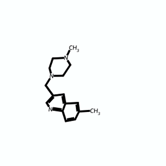 Cc1ccc2ncc(CN3CCN(C)CC3)cc2c1